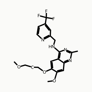 COCCCOc1cc2c(NCc3cc(C(F)(F)F)ccn3)nc(C)nc2cc1OC